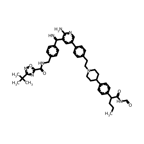 CCCC(C(=O)NC=O)c1ccc(C2CCN(CCc3ccc(-c4cnc(N)c(C(=N)c5ccc(CNC(=O)c6nc(C(C)(C)C)no6)cc5)c4)cc3)CC2)cc1